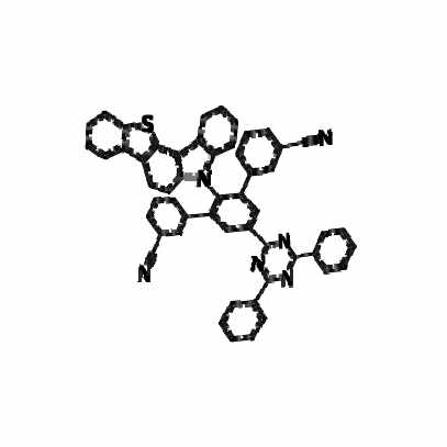 N#Cc1cccc(-c2cc(-c3nc(-c4ccccc4)nc(-c4ccccc4)n3)cc(-c3cccc(C#N)c3)c2-n2c3ccccc3c3c4sc5ccccc5c4ccc32)c1